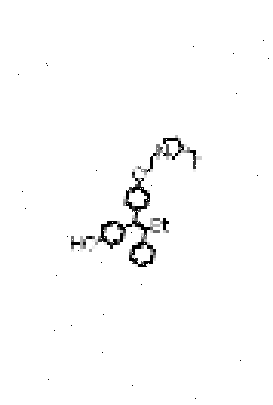 CCC(=C(c1ccc(O)cc1)c1ccc(OCCN2CC[C@@H](CF)C2)cc1)c1ccccc1